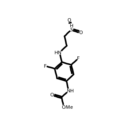 COC(=O)Nc1cc(F)c(NCC[SH](=O)=O)c(F)c1